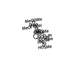 C=C(OC)C(=O)Nc1cc(OC)c(OC)cc1C(=O)OC1CC(O[C@@H]2C(=O)C(NC(=O)OC)=C3/C(=C\CS)[C@]2(O)C#C/C=C\C#C[C@@H]3O[C@@H]2O[C@H](C)[C@@H](NOC3C[C@H](O)[C@H](SC)[C@@H](C)O3)[C@H](O)[C@H]2O[C@H]2C[C@H](OC)[C@@H](NC(C)C)CO2)O[C@@H](C)C1O